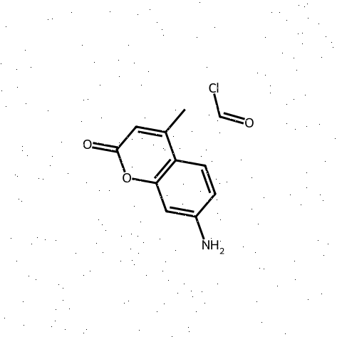 Cc1cc(=O)oc2cc(N)ccc12.O=CCl